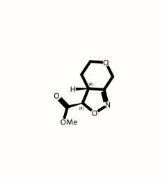 COC(=O)[C@@H]1ON=C2COCC[C@H]21